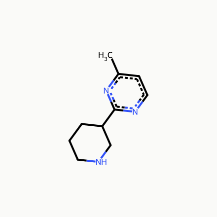 Cc1ccnc(C2CCCNC2)n1